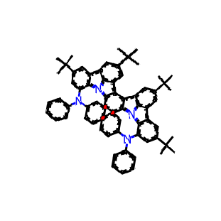 CC(C)(C)c1cc(N(c2ccccc2)c2ccccc2)c2c(c1)c1cc(C(C)(C)C)cc3c4c5c6cc(C(C)(C)C)cc7c8cc(C(C)(C)C)cc(N(c9ccccc9)c9ccccc9)c8n(c5ccc4n2c13)c76